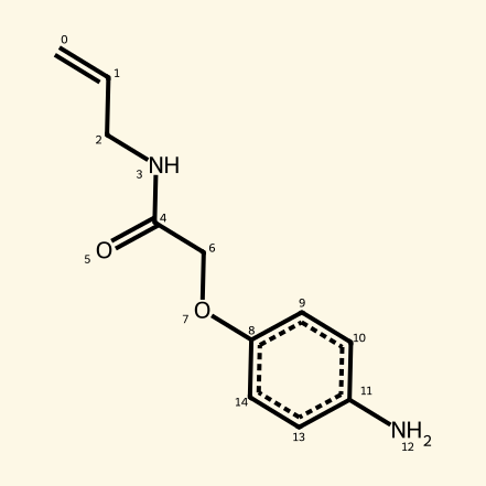 C=CCNC(=O)COc1ccc(N)cc1